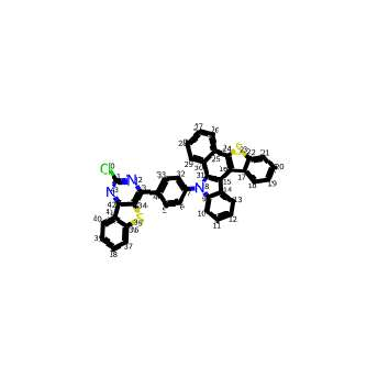 Clc1nc(-c2ccc(-n3c4ccccc4c4c5c6ccccc6sc5c5ccccc5c43)cc2)c2sc3ccccc3c2n1